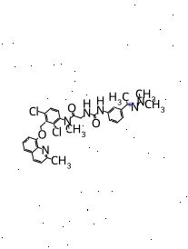 C/C(=N\N(C)C)c1cccc(NC(=O)NCC(=O)N(C)c2ccc(Cl)c(COc3cccc4ccc(C)nc34)c2Cl)c1